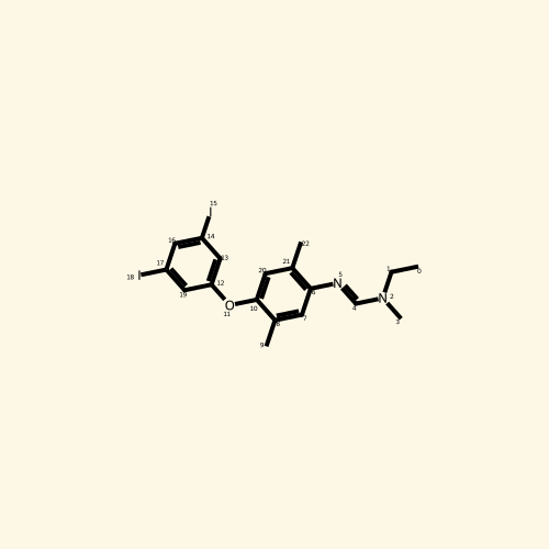 CCN(C)C=Nc1cc(C)c(Oc2cc(I)cc(I)c2)cc1C